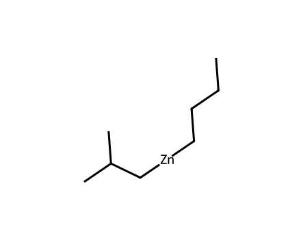 CCC[CH2][Zn][CH2]C(C)C